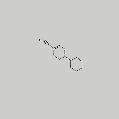 C#CC1=CC=C(C2CCCCC2)CC1